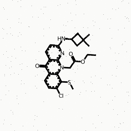 CCOC(=O)Cn1c2nc(NC3CC(C)(C)C3)ccc2c(=O)c2ccc(Cl)c(SC)c21